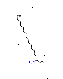 CCCCCCCCC(N)CCCCCCCCCCCCCCC(=O)O